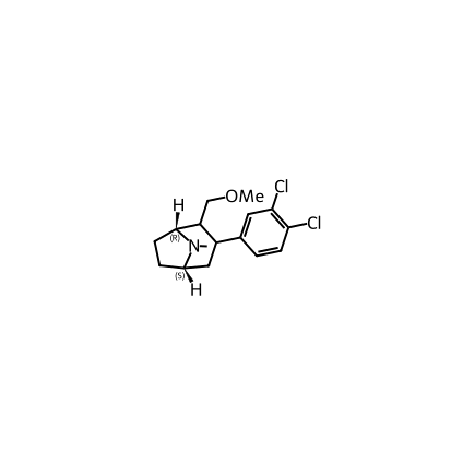 COCC1C(c2ccc(Cl)c(Cl)c2)C[C@@H]2CC[C@H]1N2C